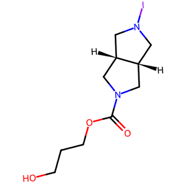 O=C(OCCCO)N1C[C@H]2CN(I)C[C@H]2C1